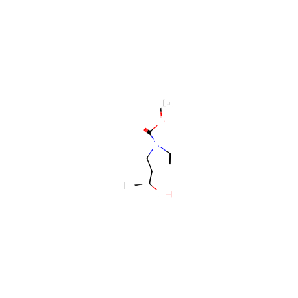 CC[C@H](O)[C@H]1CCN(C(=O)OC(C)(C)C)C1